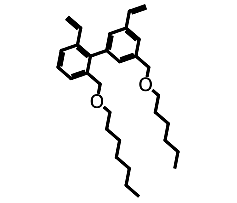 C=Cc1cc(COCCCCCC)cc(-c2c(C=C)cccc2COCCCCCCC)c1